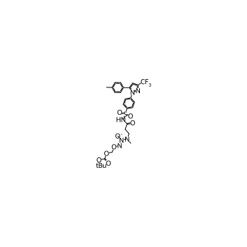 Cc1ccc(-c2cc(C(F)(F)F)nn2-c2ccc(S(=O)(=O)NC(=O)CCN(C)/[N+]([O-])=N/OCOC(=O)OC(C)(C)C)cc2)cc1